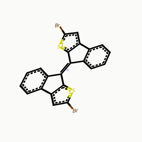 Brc1cc2c(s1)/C(=C1\c3ccccc3-c3cc(Br)sc31)c1ccccc1-2